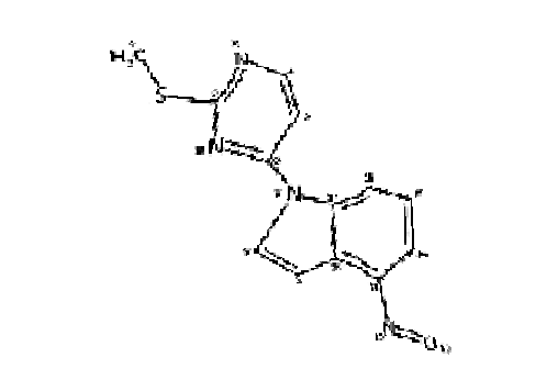 CSc1nccc(-n2ccc3c(N=O)cccc32)n1